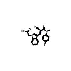 CN(C(=O)/C(C#N)=C/c1cn(CC(=O)O)c2ccccc12)c1ccc(F)cc1